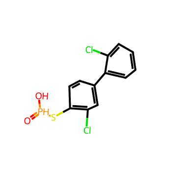 O=[PH](O)Sc1ccc(-c2ccccc2Cl)cc1Cl